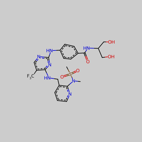 CN(c1ncccc1CNc1nc(Nc2ccc(C(=O)NC(CO)CO)cc2)ncc1C(F)(F)F)S(C)(=O)=O